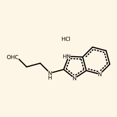 Cl.O=CCCNc1nc2ncccc2[nH]1